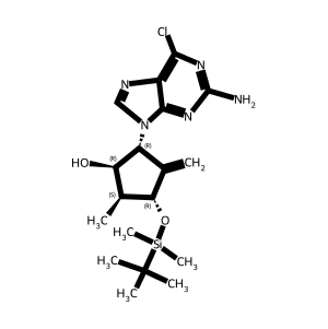 C=C1[C@@H](n2cnc3c(Cl)nc(N)nc32)[C@H](O)[C@H](C)[C@H]1O[Si](C)(C)C(C)(C)C